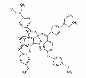 CCN(CC)c1ccc(C(=CC2(C=C(c3ccc(Oc4ccc(OC)cc4)cc3)c3ccc(N(CC)CC)cc3)OC(=O)c3c(Cl)c(Cl)c(Cl)c(Cl)c32)c2ccc(Oc3ccc(OC)cc3)cc2)cc1